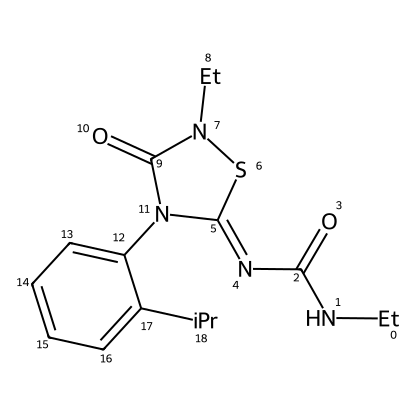 CCNC(=O)N=c1sn(CC)c(=O)n1-c1ccccc1C(C)C